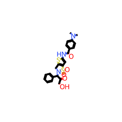 CN(C)c1ccc(C(=O)Nc2cc3c(s2)CN(C(C(=O)CO)c2ccccc2)S3(=O)=O)cc1